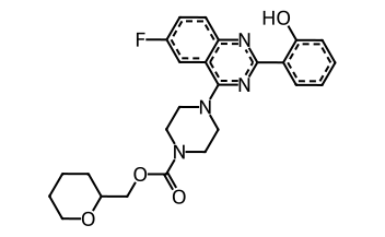 O=C(OCC1CCCCO1)N1CCN(c2nc(-c3ccccc3O)nc3ccc(F)cc23)CC1